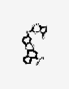 CC[N+](CC)=c1cc2oc3cc(NC(=O)ON4C(=O)CCC4=O)ccc3nc-2c2ccccc12